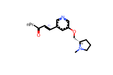 CCCC(=O)/C=C/c1cncc(OC[C@@H]2CCCN2C)c1